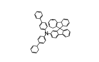 C1=CCC2=C(C=C1)C1C=CC=CC1C21c2ccccc2-c2ccc(N(c3ccc(-c4ccccc4)cc3)c3ccc(C4C=CC=CC4)cc3)cc21